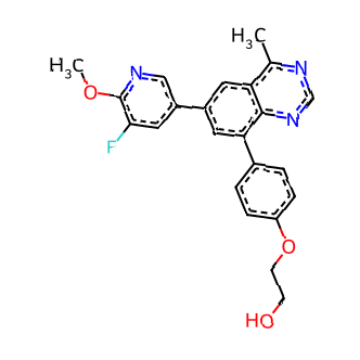 COc1ncc(-c2cc(-c3ccc(OCCO)cc3)c3ncnc(C)c3c2)cc1F